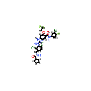 Cn1c(Nc2c(Cl)ccc(CNC(=O)C3CCCC3)c2Cl)nc2cc(C(=O)Nc3ccc(F)c(Cl)c3)c(OCC(F)F)cc21